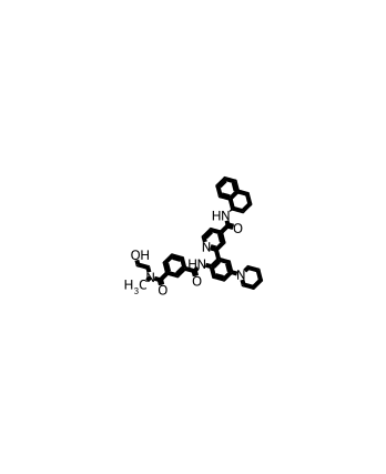 CN(CCO)C(=O)c1cccc(C(=O)Nc2ccc(N3CCCCC3)cc2-c2cc(C(=O)N[C@H]3CCCc4ccccc43)ccn2)c1